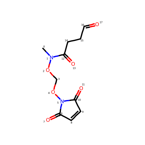 CN(OCON1C(=O)C=CC1=O)C(=O)CCC=O